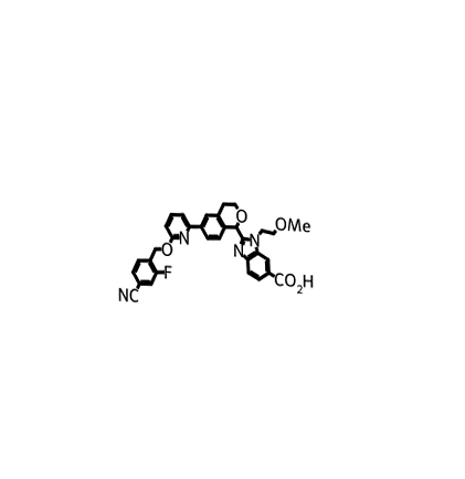 COCCn1c(C2OCCc3cc(-c4cccc(OCc5ccc(C#N)cc5F)n4)ccc32)nc2ccc(C(=O)O)cc21